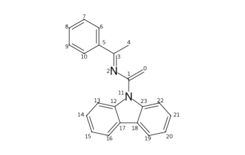 C=C(/N=C(\C)c1ccccc1)n1c2ccccc2c2ccccc21